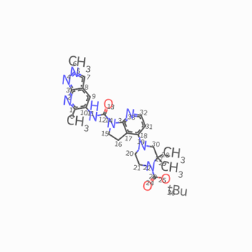 Cc1nc2nn(C)cc2cc1NC(=O)N1CCc2c(N3CCN(C(=O)OC(C)(C)C)C(C)(C)C3)ccnc21